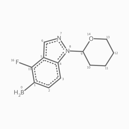 Bc1ccc2c(cnn2C2CCCCO2)c1F